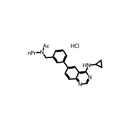 CCCN(Cc1cccc(-c2ccc3ncnc(NC4CC4)c3c2)c1)C(C)=O.Cl